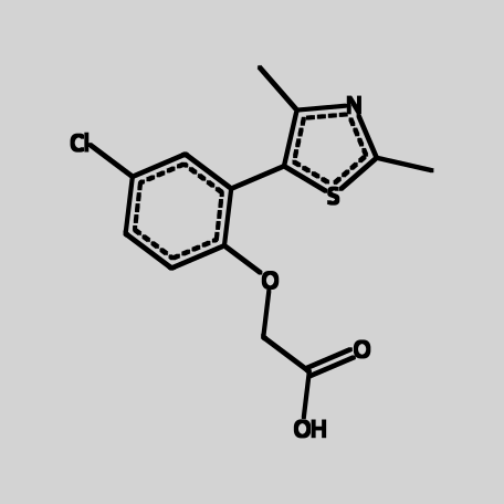 Cc1nc(C)c(-c2cc(Cl)ccc2OCC(=O)O)s1